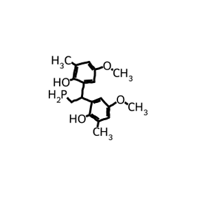 COc1cc(C)c(O)c(C(CP)c2cc(OC)cc(C)c2O)c1